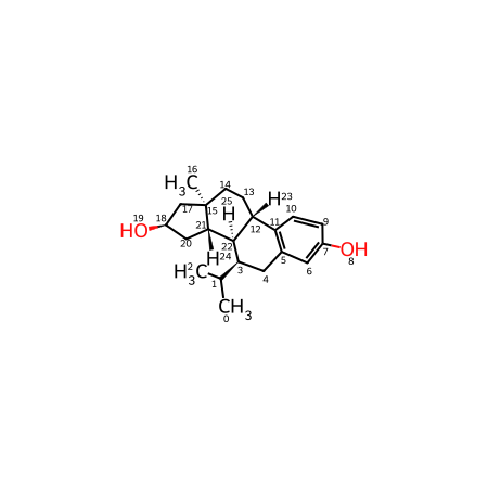 CC(C)[C@@H]1Cc2cc(O)ccc2[C@H]2CC[C@]3(C)C[C@H](O)C[C@H]3[C@@H]21